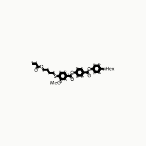 C=CC(=O)OCCCCSc1ccc(C(=O)Oc2ccc(C(=O)Oc3ccc(CCCCCC)cc3)cc2)cc1OC